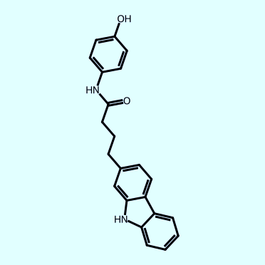 O=C(CCCc1ccc2c(c1)[nH]c1ccccc12)Nc1ccc(O)cc1